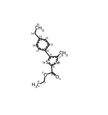 CCOC(=O)c1nc(C)c(-c2ccc(CC)cc2)s1